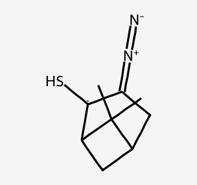 CC1(C)C2CC(=[N+]=[N-])[C](S)C1C2